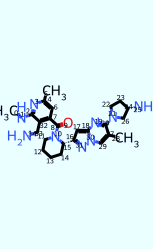 CNc1nc(C)cc(C(=O)N2CCCC[C@H]2c2cc3nc(N4CC[C@H](N)C4)c(C)cn3n2)c1CN